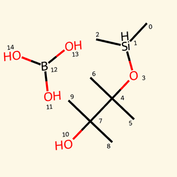 C[SiH](C)OC(C)(C)C(C)(C)O.OB(O)O